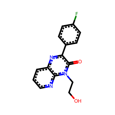 O=c1c(-c2ccc(F)cc2)nc2cccnc2n1CCO